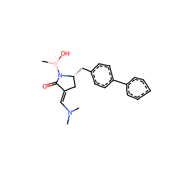 CB(O)N1C(=O)/C(=C/N(C)C)C[C@H]1Cc1ccc(-c2ccccc2)cc1